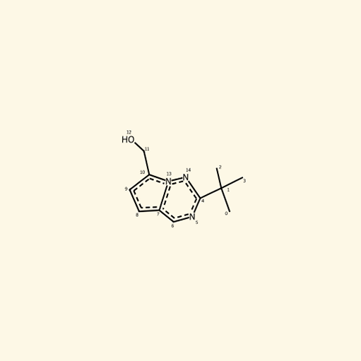 CC(C)(C)c1ncc2ccc(CO)n2n1